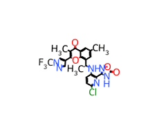 Cc1cc([C@@H](C)Nc2ccc(Cl)nc2-c2noc(=O)[nH]2)c2oc(-c3cnn(C(F)(F)F)c3)c(C)c(=O)c2c1